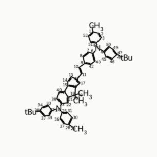 Cc1ccc(N(c2ccc(/C=C/c3ccc4c(c3)C(C)(C)c3cc(N(c5ccc(C)cc5)c5ccc(C(C)(C)C)cc5)ccc3-4)cc2)c2ccc(C(C)(C)C)cc2)cc1